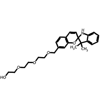 CC1(C)c2ccccc2NC12C=Cc1ccc(COCCOCCOCCO)cc1O2